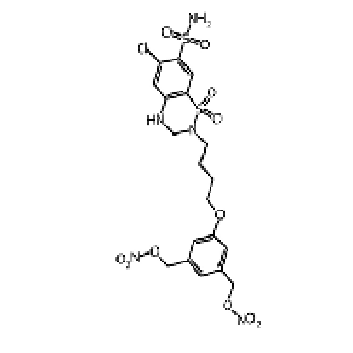 NS(=O)(=O)c1cc2c(cc1Cl)NCN(CCCCOc1cc(CO[N+](=O)[O-])cc(CO[N+](=O)[O-])c1)S2(=O)=O